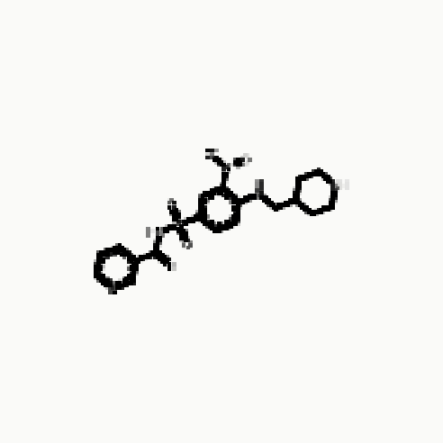 O=C(NS(=O)(=O)c1ccc(NCC2CCNCC2)c([N+](=O)[O-])c1)c1cccnc1